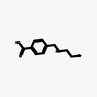 O=C(O)c1ccc(CNCCBr)cc1